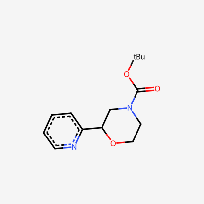 CC(C)(C)OC(=O)N1CCOC(c2ccccn2)C1